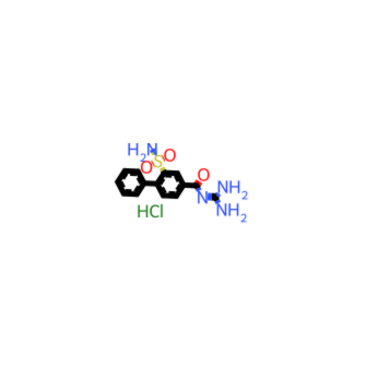 Cl.NC(N)=NC(=O)c1ccc(-c2ccccc2)c(S(N)(=O)=O)c1